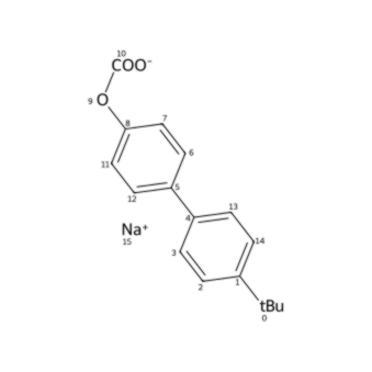 CC(C)(C)c1ccc(-c2ccc(OC(=O)[O-])cc2)cc1.[Na+]